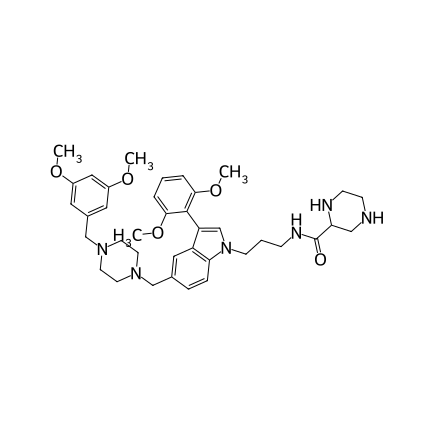 COc1cc(CN2CCN(Cc3ccc4c(c3)c(-c3c(OC)cccc3OC)cn4CCCNC(=O)C3CNCCN3)CC2)cc(OC)c1